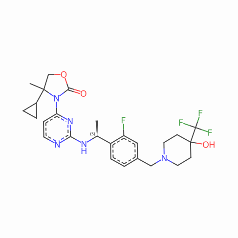 C[C@H](Nc1nccc(N2C(=O)OCC2(C)C2CC2)n1)c1ccc(CN2CCC(O)(C(F)(F)F)CC2)cc1F